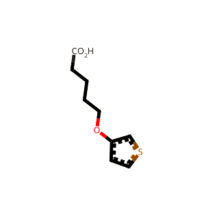 O=C(O)CCCCOc1ccsc1